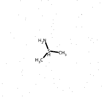 C[SH](C)N